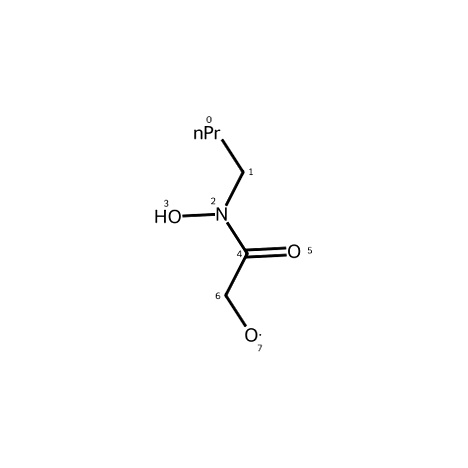 CCCCN(O)C(=O)C[O]